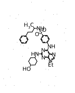 CCn1cnc2c(Nc3ccc(S(=O)(=O)NC(C)CCc4ccccc4)cc3)nc(NC3CCC(O)CC3)nc21